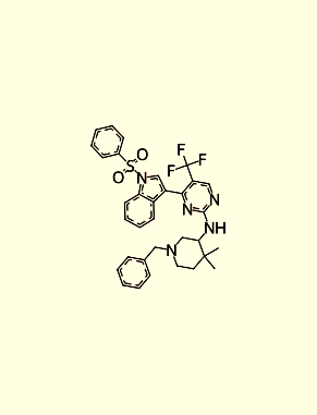 CC1(C)CCN(Cc2ccccc2)CC1Nc1ncc(C(F)(F)F)c(-c2cn(S(=O)(=O)c3ccccc3)c3ccccc23)n1